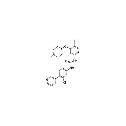 CN1CCC(Oc2cc(NC(=O)Nc3ccc(-c4ccncc4)c(Cl)c3)ccc2I)CC1